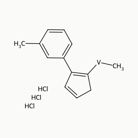 Cl.Cl.Cl.[CH3][V][C]1=C(c2cccc(C)c2)C=CC1